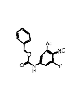 [C-]#[N+]c1c(F)cc(NC(=O)OCc2ccccc2)cc1C(C)=O